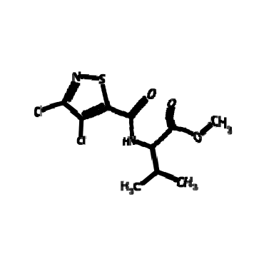 COC(=O)C(NC(=O)c1snc(Cl)c1Cl)C(C)C